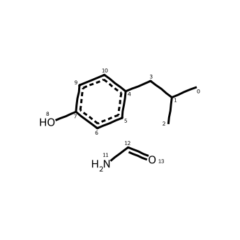 CC(C)Cc1ccc(O)cc1.NC=O